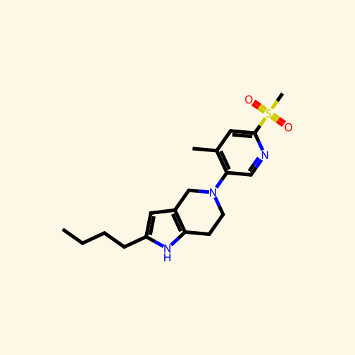 CCCCc1cc2c([nH]1)CCN(c1cnc(S(C)(=O)=O)cc1C)C2